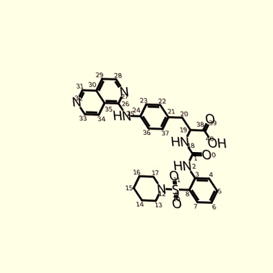 O=C(Nc1ccccc1S(=O)(=O)N1CCCCC1)NC(Cc1ccc(Nc2nccc3cnccc23)cc1)C(=O)O